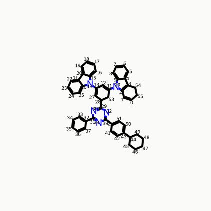 C1=Cc2c(c3ccccc3n2C2=CC(n3c4ccccc4c4ccccc43)=CC(c3nc(-c4ccccc4)nc(-c4ccc(C5CCCCC5)cc4)n3)C2)CC1